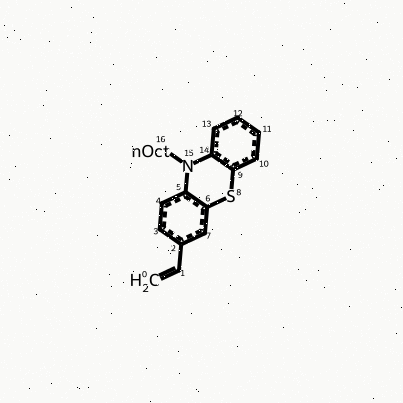 C=Cc1ccc2c(c1)Sc1ccccc1N2CCCCCCCC